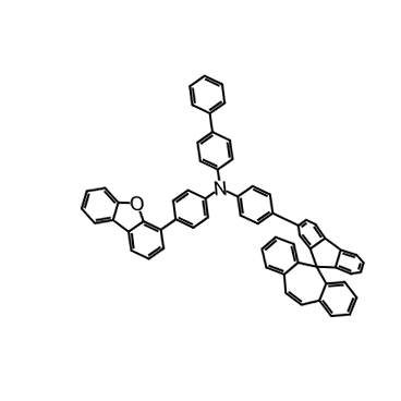 C1=Cc2ccccc2C2(c3ccccc31)c1ccccc1-c1ccc(-c3ccc(N(c4ccc(-c5ccccc5)cc4)c4ccc(-c5cccc6c5oc5ccccc56)cc4)cc3)cc12